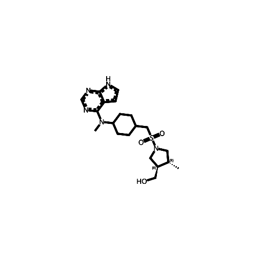 C[C@H]1CN(S(=O)(=O)CC2CCC(N(C)c3ncnc4[nH]ccc34)CC2)C[C@@H]1CO